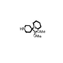 CON(OC)C1(N2CCCCC2)CCNCC1